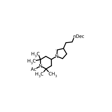 CCCCCCCCCCCCC1[CH]N(C2CC(C)(C)N(C(C)=O)C(C)(C)C2)CC1